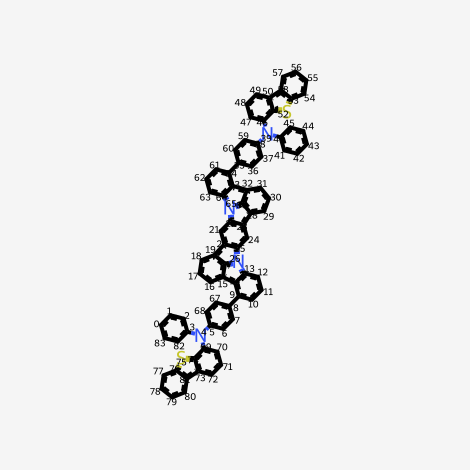 c1ccc(N(c2ccc(-c3cccc4c3c3cccc5c6cc7c(cc6n4c53)c3cccc4c5c(-c6ccc(N(c8ccccc8)c8cccc9c8sc8ccccc89)cc6)cccc5n7c34)cc2)c2cccc3c2sc2ccccc23)cc1